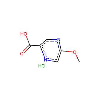 COc1cnc(C(=O)O)cn1.Cl